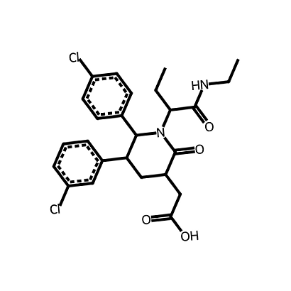 CCNC(=O)C(CC)N1C(=O)C(CC(=O)O)CC(c2cccc(Cl)c2)C1c1ccc(Cl)cc1